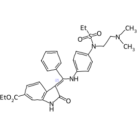 CCOC(=O)c1ccc2c(c1)NC(=O)/C2=C(\Nc1ccc(N(CCN(C)C)S(=O)(=O)CC)cc1)c1ccccc1